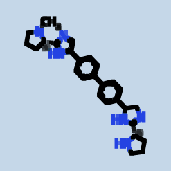 CN1CCC[C@H]1c1ncc(-c2ccc(-c3ccc(C4CN=C([C@@H]5CCCN5)N4)cc3)cc2)[nH]1